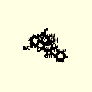 CN1CC[C@]23c4c5ccc(C#N)c4OC2C(O)C2(Cc4ccccc4C2)CC3(O)[C@H]1C5